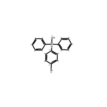 O[PH](c1ccccc1)(c1ccccc1)c1ccc(Br)cc1